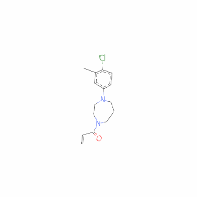 C=CC(=O)N1CCCN(c2ccc(Cl)c(C)c2)CC1